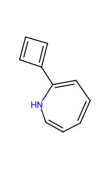 C1=CC=C(C2=CC=C2)NC=C1